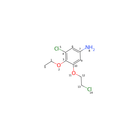 CCOc1c(Cl)cc(N)cc1OCCCl